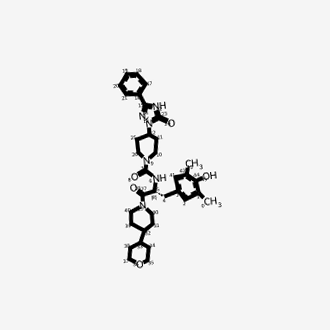 Cc1cc(C[C@@H](NC(=O)N2CCC(n3nc(-c4ccccc4)[nH]c3=O)CC2)C(=O)N2CCC(C3CCOCC3)CC2)cc(C)c1O